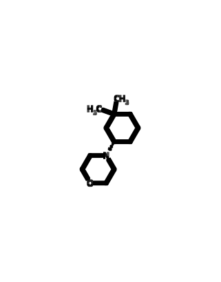 CC1(C)CCC[C@H](N2CCOCC2)C1